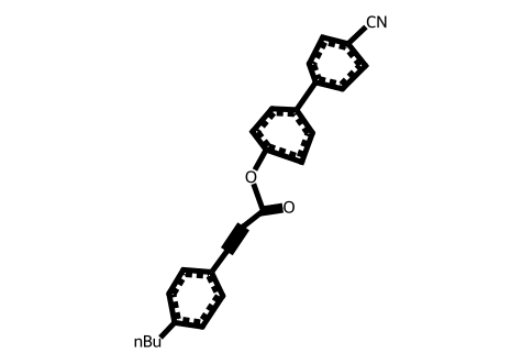 CCCCc1ccc(C#CC(=O)Oc2ccc(-c3ccc(C#N)cc3)cc2)cc1